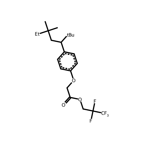 CCC(C)(C)CC(c1ccc(OCC(=O)OCC(F)(F)C(F)(F)F)cc1)C(C)(C)C